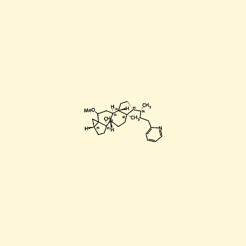 COC1C[C@H]2[C@@H]3CC[C@H]([C@H](C)CCc4ccccn4)[C@@]3(C)CC[C@@H]2[C@@]2(C)CC[C@@H]3CC132